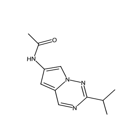 CC(=O)Nc1cc2cnc(C(C)C)nn2c1